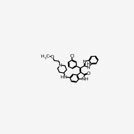 COCCN1CCC(Nc2ccc3c(c2)C(=C(c2cccc(Cl)c2)c2nc4ccccc4[nH]2)C(=O)N3)CC1